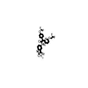 Cn1nc2ccc(-n3nc4ccc(OCC(F)F)nc4c(-c4ccc(OC(F)F)cc4)c3=O)cc2c1Br